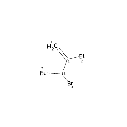 C=C(CC)C(Br)CC